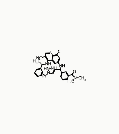 CC(C)N1C=C([C@@H](Nc2cc(Cl)c3ncc(C#N)c(N[C@H](C)c4ccccc4)c3c2)c2cccc(C(=O)N(C)C)c2)NN1